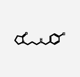 O=C1CCCN1CCCNCc1ccc(Cl)cc1